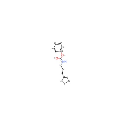 O=C(NCCCC1CCCC1)Oc1ccccc1